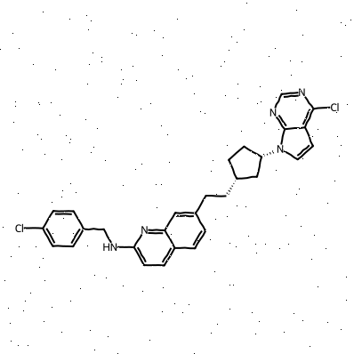 Clc1ccc(CNc2ccc3ccc(CC[C@@H]4CC[C@H](n5ccc6c(Cl)ncnc65)C4)cc3n2)cc1